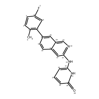 Cc1ccc(F)cc1-c1ccc2cc(Nc3cccc(=O)[nH]3)ncc2c1